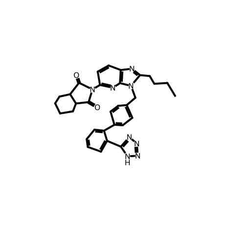 CCCCc1nc2ccc(N3C(=O)C4CCCCC4C3=O)nc2n1Cc1ccc(-c2ccccc2-c2nnn[nH]2)cc1